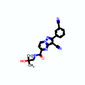 CC(C)(O)CNC(=O)c1ccn2nc(-c3cccc(C#N)c3)c(C#N)c2n1